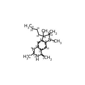 C=C1NC(C)=Nc2cc3c(cc21)N(C)C(=C)C3(C)CCCC